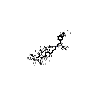 C=CC[C@@H](C(=O)C(C)(C)[C@H](CCO[Si](C)(C)C(C)(C)C)O[Si](C)(C)C(C)(C)C)[C@@H](O[Si](C)(C)C(C)(C)C)[C@@H](C)CCC/C(C)=C/C[C@H](O[Si](C)(C)C(C)(C)C)c1ccc2oc(C)nc2c1